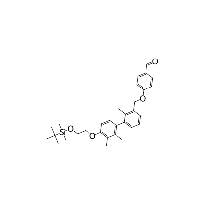 Cc1c(COc2ccc(C=O)cc2)cccc1-c1ccc(OCCO[Si](C)(C)C(C)(C)C)c(C)c1C